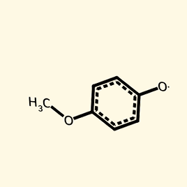 COc1ccc([O])cc1